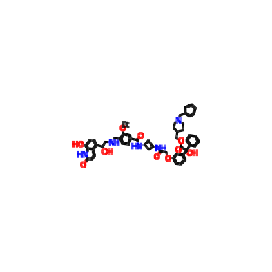 CCOc1cc(C(=O)N[C@H]2C[C@H](NC(=O)COc3cccc([C@](O)(C(=O)OCC4CCN(Cc5ccccc5)CC4)c4ccccc4)c3)C2)ccc1CNC[C@H](O)c1ccc(O)c2[nH]c(=O)ccc12